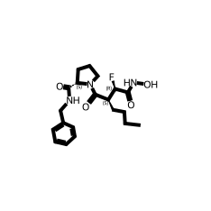 CCCC[C@@H](C(=O)N1CCC[C@H]1C(=O)NCc1ccccc1)[C@@H](F)C(=O)NO